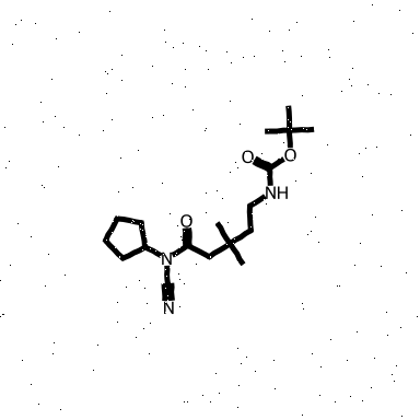 CC(C)(CCNC(=O)OC(C)(C)C)CC(=O)N(C#N)C1CCCC1